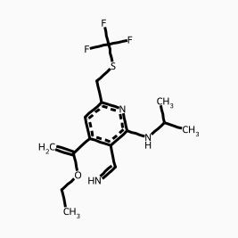 C=C(OCC)c1cc(CSC(F)(F)F)nc(NC(C)C)c1C=N